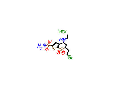 Br.CCNC1CC(CCBr)S(=O)(=O)c2sc(S(N)(=O)=O)cc21